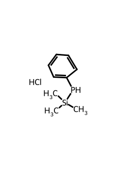 C[Si](C)(C)Pc1ccccc1.Cl